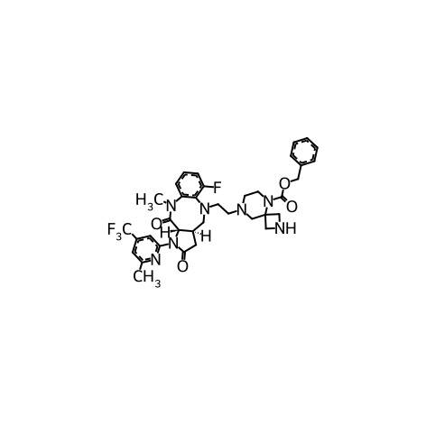 Cc1cc(C(F)(F)F)cc(N2C(=O)C[C@@H]3CN(CCN4CCN(C(=O)OCc5ccccc5)C5(CNC5)C4)c4c(F)cccc4N(C)C(=O)[C@H]32)n1